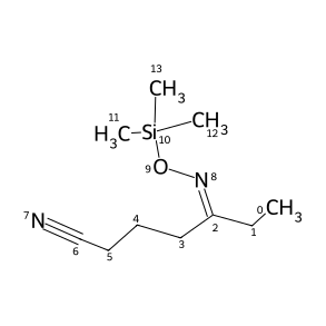 CCC(CCCC#N)=NO[Si](C)(C)C